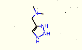 CN(C)CC1=CNNN1